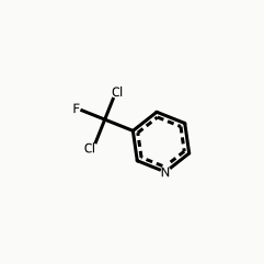 FC(Cl)(Cl)c1cccnc1